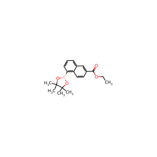 CCOC(=O)c1ccc2c(B3OC(C)(C)C(C)(C)O3)cccc2c1